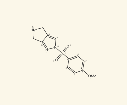 COc1ccc(S(=O)(=O)n2cc3c(n2)CNC3)cc1